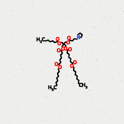 CCCCCCCCCOC(=O)CCCCCC(=O)OCC(COC(=O)CCCCCC)(COC(=O)CCCCCC(=O)OCCCCCCCCC)COC(=O)CCCN1CCCC1